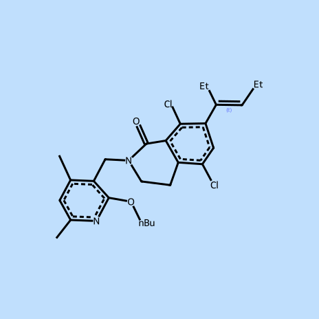 CC/C=C(\CC)c1cc(Cl)c2c(c1Cl)C(=O)N(Cc1c(C)cc(C)nc1OCCCC)CC2